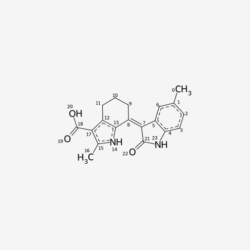 Cc1ccc2c(c1)/C(=C1\CCCc3c1[nH]c(C)c3C(=O)O)C(=O)N2